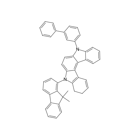 CC1(C)c2ccccc2-c2cccc(-n3c4c(c5c6c7ccccc7n(-c7cccc(-c8ccccc8)c7)c6ccc53)C=CCC4)c21